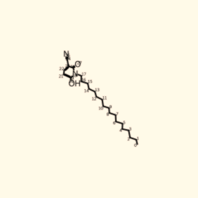 CCCCCCCCCCCCCCCCCCn1c(O)ccc(C#N)c1=O